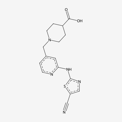 N#Cc1cnc(Nc2cc(CN3CCC(C(=O)O)CC3)ccn2)s1